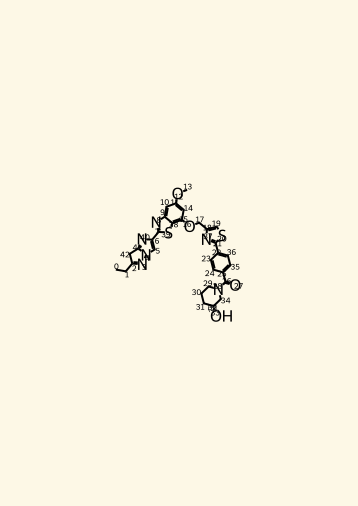 CCC1=Nn2cc(-c3nc4cc(OC)cc(OCc5csc(-c6ccc(C(=O)N7CCC[C@H](O)C7)cc6)n5)c4s3)nc2C1